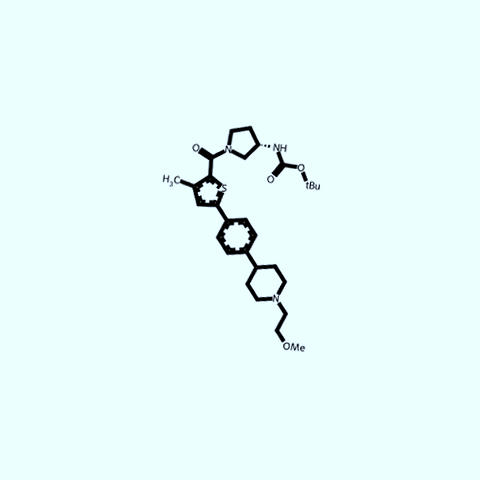 COCCN1CCC(c2ccc(-c3cc(C)c(C(=O)N4CC[C@H](NC(=O)OC(C)(C)C)C4)s3)cc2)CC1